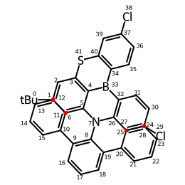 CC(C)(C)c1cc2c3c(c1)N(c1c(-c4ccccc4)cccc1-c1ccccc1)c1cc(Cl)ccc1B3c1ccc(Cl)cc1S2